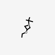 CCOC1CN(C(C)(C)C)C1